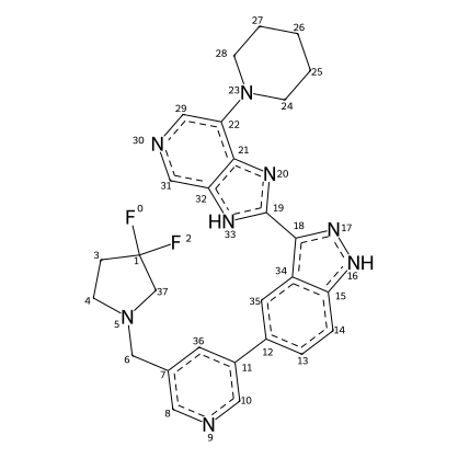 FC1(F)CCN(Cc2cncc(-c3ccc4[nH]nc(-c5nc6c(N7CCCCC7)cncc6[nH]5)c4c3)c2)C1